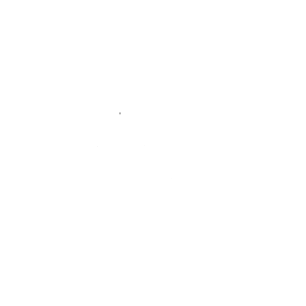 CC(C)c1ccc(C(O)P(=O)(O)O)cc1